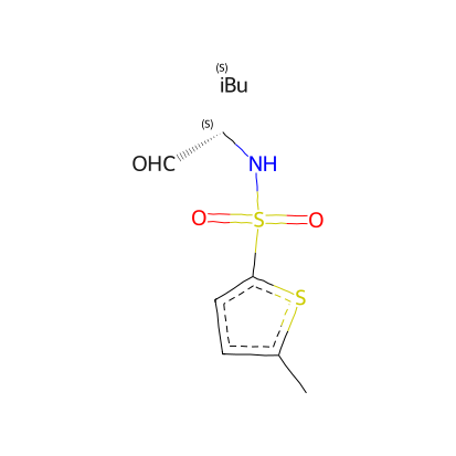 CC[C@H](C)[C@@H](C=O)NS(=O)(=O)c1ccc(C)s1